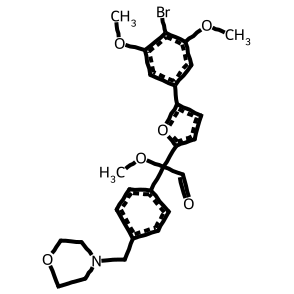 COc1cc(-c2ccc(C(C=O)(OC)c3ccc(CN4CCOCC4)cc3)o2)cc(OC)c1Br